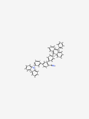 N#Cc1ccc(-c2cccc(-n3c4ccccc4c4ccccc43)c2)cc1-c1ccc(-c2c3ccccc3c(-c3ccccc3)c3ccccc23)cc1